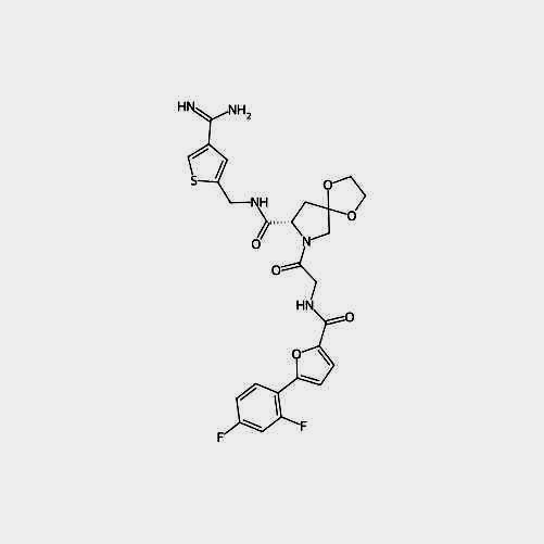 N=C(N)c1csc(CNC(=O)[C@@H]2CC3(CN2C(=O)CNC(=O)c2ccc(-c4ccc(F)cc4F)o2)OCCO3)c1